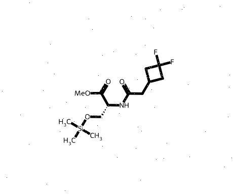 COC(=O)[C@@H](CO[Si](C)(C)C)NC(=O)CC1CC(F)(F)C1